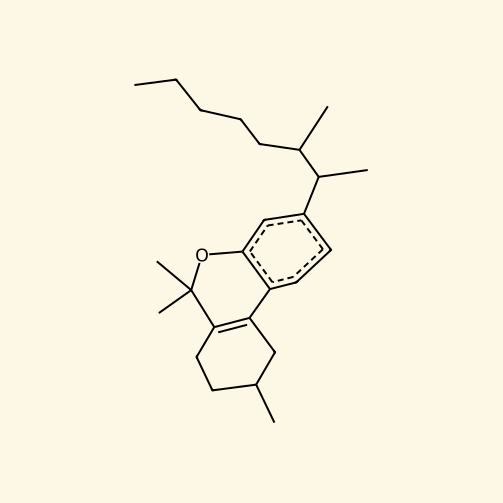 CCCCCC(C)C(C)c1ccc2c(c1)OC(C)(C)C1=C2CC(C)CC1